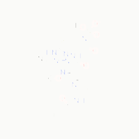 CON=C(C(=O)NC1C(=O)N(S(=O)(=O)[O-])C1C(C)Sc1nnn[nH]1)c1csc(NC(=O)CCl)n1.[Na+]